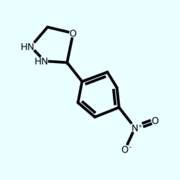 O=[N+]([O-])c1ccc([C]2NNCO2)cc1